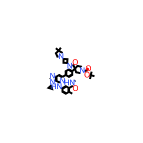 CNC(=O)c1cc(Nc2nc(-c3ccc4c(c3)N([C@H]3C[C@@H](N5CCC(C)(C)C5)C3)C(=O)C43CCN(C(=O)OC(C)(C)C)CC3)cc3ncn(C4CC4)c23)ccc1C